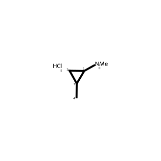 CNC1CC1C.Cl